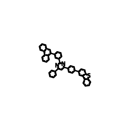 c1ccc(-c2cc(-c3ccc(-c4ccc5sc6ccccc6c5c4)cc3)nc(-c3cccc(-c4cc5ccccc5c5ccccc45)c3)n2)cc1